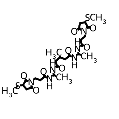 CSC1CC(=O)N(CCC(=O)NC(C)NC(=O)CC(C)CC(=O)NC(C)NC(=O)CCN2C(=O)CC(SC)C2=O)C1=O